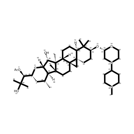 CC(=O)O[C@@H]([C@H]1C[C@@H](C)[C@H]2[C@H](O1)[C@H](O)[C@@]1(C)[C@@H]3CC[C@H]4C(C)(C)[C@@H](O[C@H]5CN(C6CCN(C)CC6)CCO5)CC[C@@]45C[C@@]35CC[C@]21C)C(C)(C)O